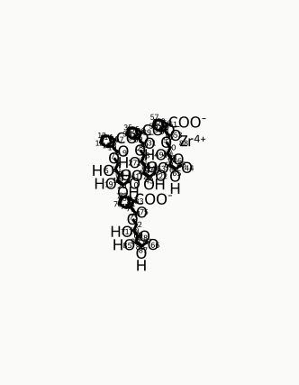 O=C1O[C@H]([C@@H](O)COC(=O)C2C3C=CC(C3)C2C(=O)[O-])C(O)=C1O.O=C1O[C@H]([C@@H](O)COC(=O)C2C3C=CC(C3)C2C(=O)[O-])C(O)=C1O.O=C1O[C@H]([C@@H](O)COC(=O)C2C3C=CC(C3)C2C(=O)[O-])C(O)=C1O.O=C1O[C@H]([C@@H](O)COC(=O)C2C3C=CC(C3)C2C(=O)[O-])C(O)=C1O.[Zr+4]